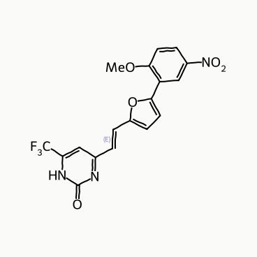 COc1ccc([N+](=O)[O-])cc1-c1ccc(/C=C/c2cc(C(F)(F)F)[nH]c(=O)n2)o1